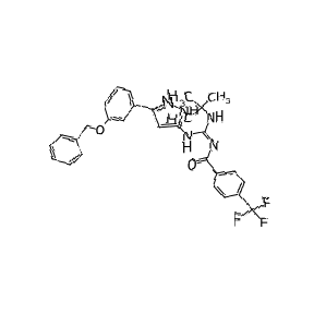 CC(C)(C)N/C(=N/C(=O)c1ccc(C(F)(F)F)cc1)Nc1cc(-c2cccc(OCc3ccccc3)c2)n[nH]1